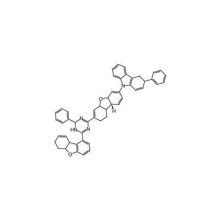 C1=CC2c3c(cccc3C3=NC(C4=CC5OC6C=C(n7c8c(c9ccccc97)CC(c7ccccc7)C=C8)C=C[C@@H]6C5CC4)=NC(c4ccccc4)N3)OC2CC1